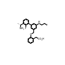 C[C@@H](N)c1cccc(-c2cc(COc3ccccc3CC(=O)O)cc(NCCF)c2)c1F